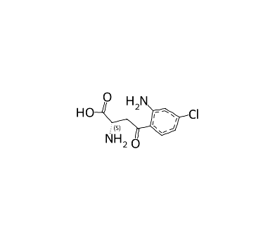 Nc1cc(Cl)ccc1C(=O)C[C@H](N)C(=O)O